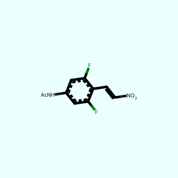 CC(=O)Nc1cc(F)c(/C=C/[N+](=O)[O-])c(F)c1